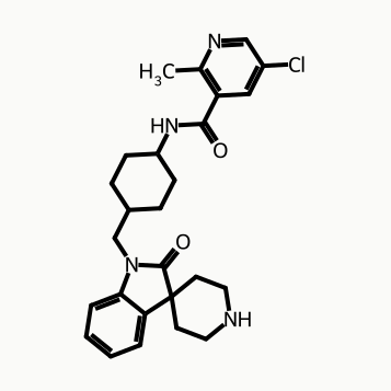 Cc1ncc(Cl)cc1C(=O)NC1CCC(CN2C(=O)C3(CCNCC3)c3ccccc32)CC1